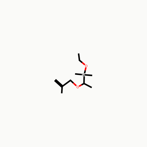 C=C(C)COC(C)[Si](C)(C)OCC